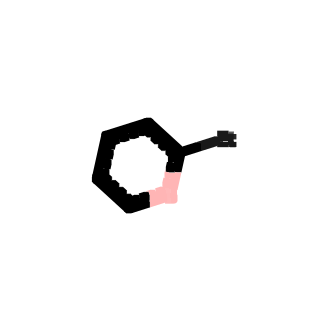 CCc1bcccc1